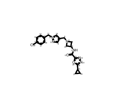 O=C(NC1CN(Cc2cnn(Cc3ccc(Cl)cc3)c2)C1)c1nnc(C2CC2)o1